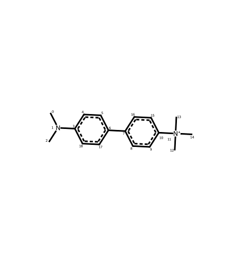 CN(C)c1ccc(-c2ccc([N+](C)(C)C)cc2)cc1